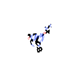 C=CC(=O)N1CCN(c2nc(OCC3(CN(C)CCN(C)C)CC3)nc3c2CCN(c2cccc4cccc(C)c24)C3)CC1CC#N